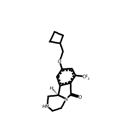 O=C1c2c(cc(OCC3CCC3)cc2C(F)(F)F)[C@@H]2CNCCN12